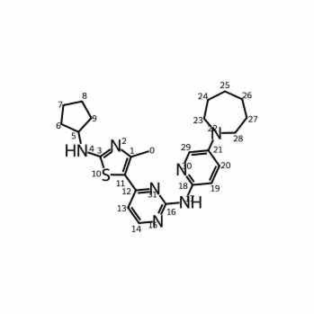 Cc1nc(NC2CCCC2)sc1-c1ccnc(Nc2ccc(N3CCCCCC3)cn2)n1